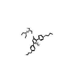 CCCCc1ccc(C2=CC(C)=C(c3ccc(CCCC)cc3)[N+]2=[N-])cc1.CC[N](CC)[Ni][N](CC)CC